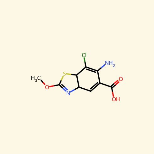 COC1=NC2C=C(C(=O)O)C(N)=C(Cl)C2S1